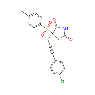 Cc1ccc(S(=O)(=O)C2(CC#Cc3ccc(Cl)cc3)SC(=O)NC2=O)cc1